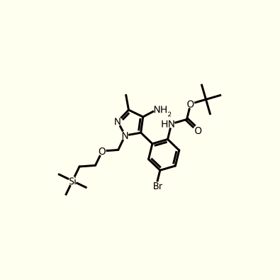 Cc1nn(COCC[Si](C)(C)C)c(-c2cc(Br)ccc2NC(=O)OC(C)(C)C)c1N